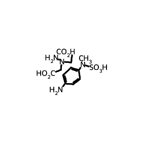 CN(c1ccc(N)cc1)S(=O)(=O)O.NN(CC(=O)O)CC(=O)O